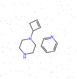 C1=CC(N2CCNCC2)C1.c1ccncc1